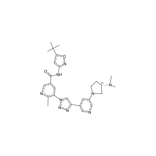 Cc1ncc(C(=O)Nc2cc(C(C)(C)C)on2)cc1-n1cc(-c2cncc(N3CC[C@H](N(C)C)C3)c2)nn1